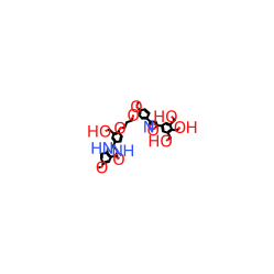 COc1ccc2c(c1)C(=O)NC(c1ccc(OCCCOc3cc(-c4cc(-c5cc(CO)c(CO)c(CO)c5)on4)ccc3OC)c(CO)c1)N2